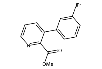 COC(=O)c1ncccc1-c1cccc(C(C)C)c1